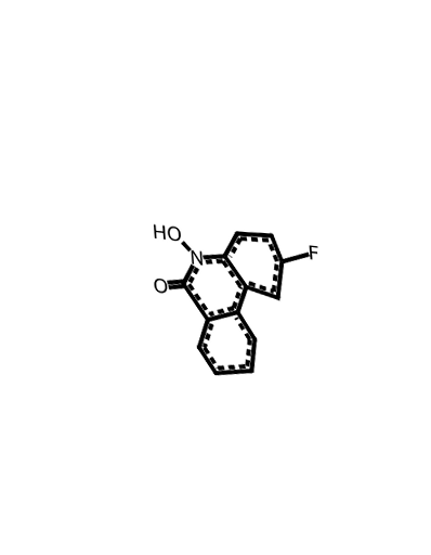 O=c1c2ccccc2c2cc(F)ccc2n1O